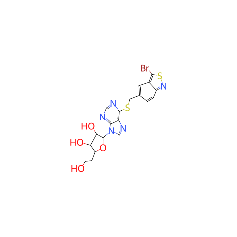 OCCC1OC(n2cnc3c(SCc4ccc5nsc(Br)c5c4)ncnc32)C(O)C1O